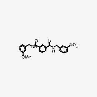 COc1cccc(CNC(=O)c2cccc(C(=O)NCc3cccc([N+](=O)[O-])c3)c2)c1